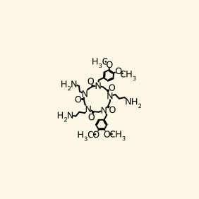 COc1ccc(CN2CC(=O)N(CCCN)CC(=O)N(CCN)CC(=O)N(Cc3ccc(OC)c(OC)c3)CC(=O)N(CCCN)CC2=O)cc1OC